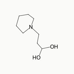 OC(O)CCN1CCCCC1